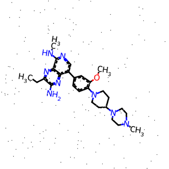 CCc1nc2c(NC)ncc(-c3ccc(N4CCC(N5CCN(C)CC5)CC4)c(OC)c3)c2nc1N